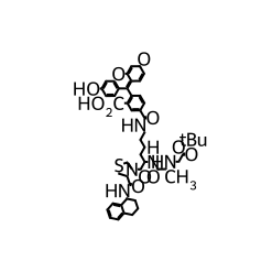 CC(NCC(=O)OC(C)(C)C)C(=O)NC(CCCCNC(=O)c1ccc(-c2c3ccc(=O)cc-3oc3cc(O)ccc23)c(C(=O)O)c1)C(=O)N1CSCC1C(=O)NC1CCCc2ccccc21